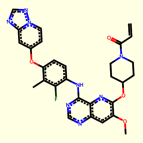 C=CC(=O)N1CCC(Oc2nc3c(Nc4ccc(Oc5ccn6ncnc6c5)c(C)c4F)ncnc3cc2OC)CC1